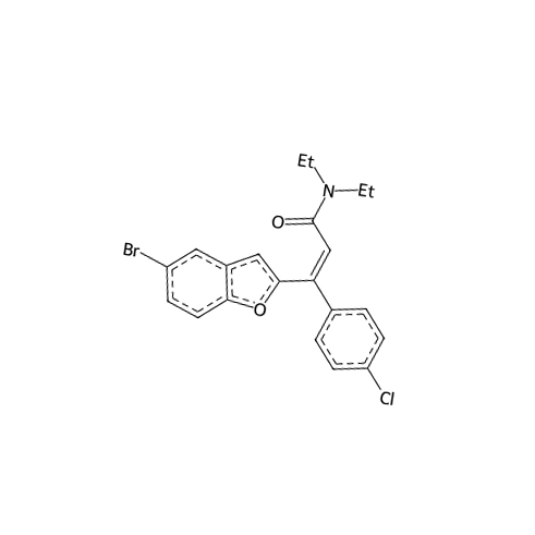 CCN(CC)C(=O)/C=C(/c1ccc(Cl)cc1)c1cc2cc(Br)ccc2o1